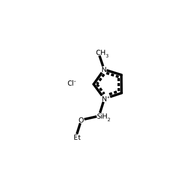 CCO[SiH2][n+]1ccn(C)c1.[Cl-]